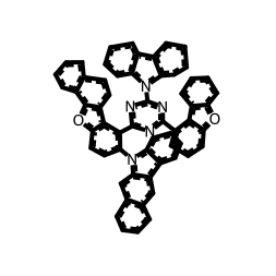 c1ccc2cc3c(cc2c1)c1ccccc1n3-c1ccc2oc3c4ccccc4ccc3c2c1-c1nc(-c2cccc3oc4ccccc4c23)nc(-n2c3ccccc3c3ccccc32)n1